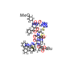 COc1ccc(CONC(=O)Cn2nnnc2SCC2=C(C(=O)OC(c3ccccc3)c3ccccc3)N3C(=O)[C@@H](NC(=O)C(=NOC(C)(C)C(=O)OC(C)(C)C)c4csc(NC(c5ccccc5)(c5ccccc5)c5ccccc5)n4)[C@@H]3[S+]([O-])C2)cc1